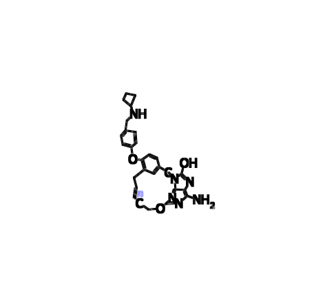 Nc1nc2nc3c1nc(O)n3Cc1ccc(Oc3ccc(CNC4CCC4)cc3)c(c1)C/C=C/CCO2